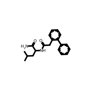 CC(C)CC(NC(=O)[CH]c1ccccc1-c1ccccc1)C(N)=O